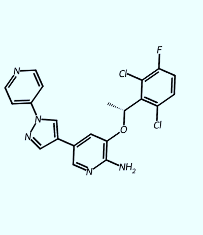 C[C@@H](Oc1cc(-c2cnn(-c3ccncc3)c2)cnc1N)c1c(Cl)ccc(F)c1Cl